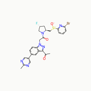 CC(=O)c1nn(CC(=O)N2C[C@H](F)C[C@H]2C[S+]([O-])c2cccc(Br)n2)c2ccc(-c3cnc(C)nc3)cc12